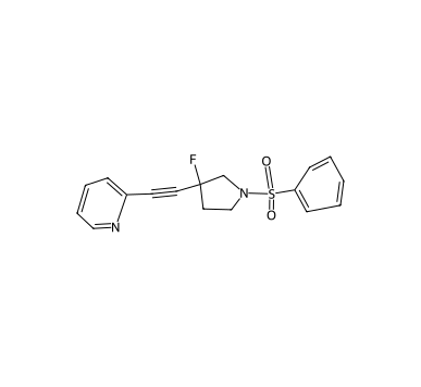 O=S(=O)(c1ccccc1)N1CCC(F)(C#Cc2ccccn2)C1